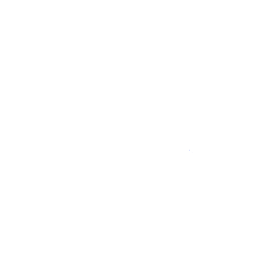 O=CN(c1ccco1)c1scc(-c2ccc(Cl)cc2)c1C(=O)O